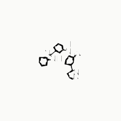 COc1cc(-c2cccnn2)ccc1Nc1cccc(-c2nc3ccccc3[nH]2)c1